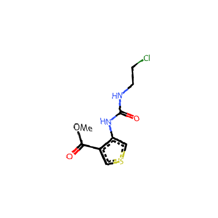 COC(=O)c1cscc1NC(=O)NCCCl